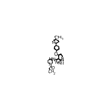 C=CC(=O)N1CCC[C@@H](Nc2n[nH]c3nccc(Oc4ccc(-c5ccc(C)cn5)cc4)c23)C1